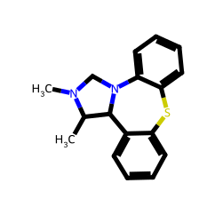 CC1C2c3ccccc3Sc3ccccc3N2CN1C